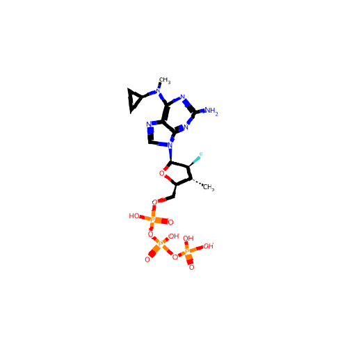 C[C@H]1[C@H](F)[C@H](n2cnc3c(N(C)C4CC4)nc(N)nc32)O[C@@H]1COP(=O)(O)OP(=O)(O)OP(=O)(O)O